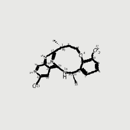 C[C@@H]1CCOc2c(cccc2C(F)(F)F)[C@@H](C)Nc2nc1nc1cnc(Cl)cc21